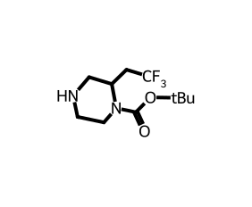 CC(C)(C)OC(=O)N1CCNCC1CC(F)(F)F